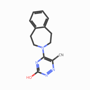 N#Cc1nnc(O)nc1N1CCc2ccccc2CC1